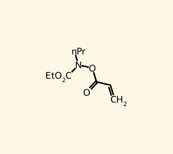 C=CC(=O)ON(CCC)C(=O)OCC